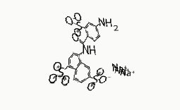 Nc1ccc(C(=O)Nc2ccc(S(=O)(=O)[O-])c3ccc(S(=O)(=O)[O-])cc23)c(S(=O)(=O)[O-])c1.[Na+].[Na+].[Na+]